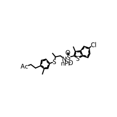 CCCN(CC(C)Sc1ccc(CCC(C)=O)c(C)c1)S(=O)(=O)c1sc2ccc(Cl)cc2c1C